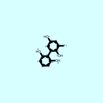 Oc1cc(F)c(O)c(-c2c(O)cccc2O)c1